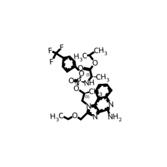 CCOCc1nc2c(N)nc3ccccc3c2n1C[C@H](C)O[P@@](=O)(N[C@@H](C)C(=O)OC(C)C)Oc1ccc(C(F)(F)F)cc1